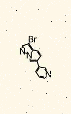 Brc1cnn2cc(-c3cccnc3)ccc12